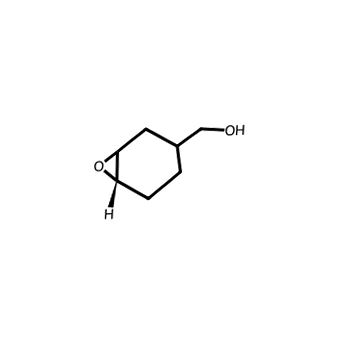 OCC1CC[C@@H]2OC2C1